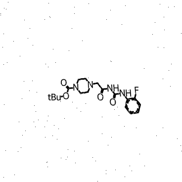 CC(C)(C)OC(=O)N1CCN(CC(=O)NC(=O)Nc2ccccc2F)CC1